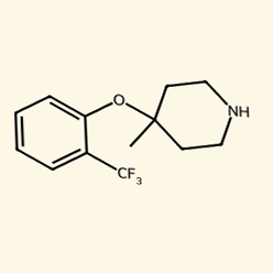 CC1(Oc2ccccc2C(F)(F)F)CCNCC1